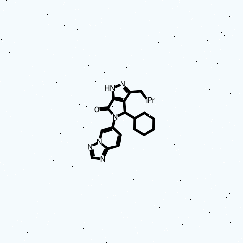 CC(C)Cc1n[nH]c2c1C(C1CCCCC1)N(c1ccc3ncnn3c1)C2=O